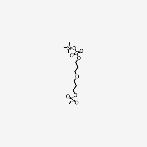 C[Si](C)(C)OS(=O)(=O)OCCCOCCCOS(C)(=O)=O